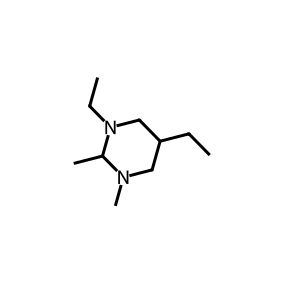 CCC1CN(C)C(C)N(CC)C1